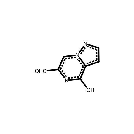 O=Cc1cn2nccc2c(O)n1